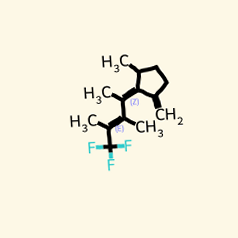 C=C1CCC(C)/C1=C(C)/C(C)=C(\C)C(F)(F)F